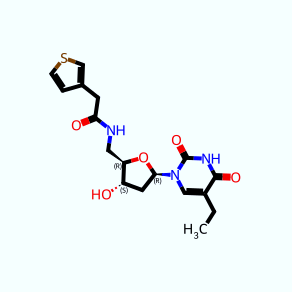 CCc1cn([C@H]2C[C@H](O)[C@@H](CNC(=O)Cc3ccsc3)O2)c(=O)[nH]c1=O